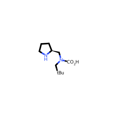 CC(C)(C)CN(C[C@@H]1CCCN1)C(=O)O